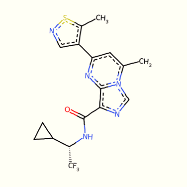 Cc1sncc1-c1cc(C)n2cnc(C(=O)N[C@@H](C3CC3)C(F)(F)F)c2n1